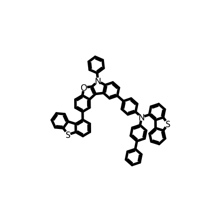 c1ccc(-c2ccc(N(c3ccc(-c4ccc5c(c4)c4c6cc(-c7cccc8sc9ccccc9c78)ccc6oc4n5-c4ccccc4)cc3)c3cccc4sc5ccccc5c34)cc2)cc1